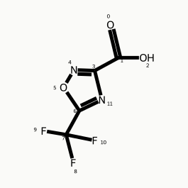 O=C(O)c1noc(C(F)(F)F)n1